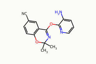 CC1(C)N=C(Oc2ncccc2N)c2cc(C#N)ccc2O1